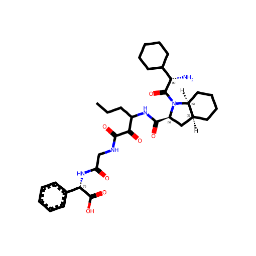 CCCC(NC(=O)[C@@H]1C[C@@H]2CCCC[C@@H]2N1C(=O)[C@@H](N)C1CCCCC1)C(=O)C(=O)NCC(=O)N[C@H](C(=O)O)c1ccccc1